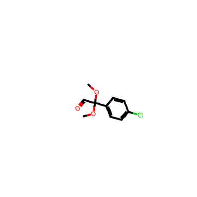 COC(C=O)(OC)c1ccc(Cl)cc1